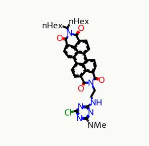 CCCCCCC(CCCCCC)N1C(=O)c2ccc3c4ccc5c6c(ccc(c7ccc(c2c37)C1=O)c64)C(=O)N(CCNc1nc(Cl)nc(NC)n1)C5=O